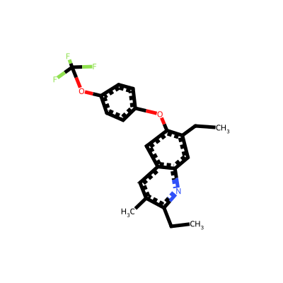 CCc1cc2nc(CC)c(C)[c]c2cc1Oc1ccc(OC(F)(F)F)cc1